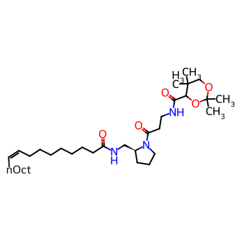 CCCCCCCC/C=C\CCCCCCCC(=O)NC[C@@H]1CCCN1C(=O)CCNC(=O)C1OC(C)(C)OCC1(C)C